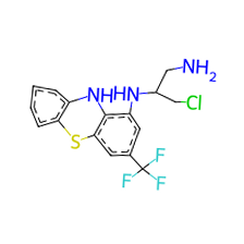 NCC(CCl)Nc1cc(C(F)(F)F)cc2c1Nc1ccccc1S2